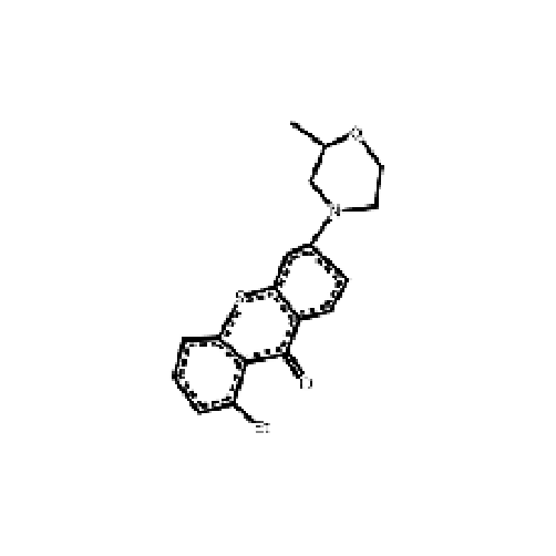 CCc1cccc2sc3cc(N4CCOC(C)C4)ccc3c(=O)c12